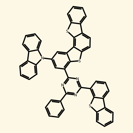 c1ccc(-c2nc(-c3cccc4c3sc3ccccc34)nc(-c3cc(-n4c5ccccc5c5ccccc54)cc4c3sc3ccc5c6ccccc6sc5c34)n2)cc1